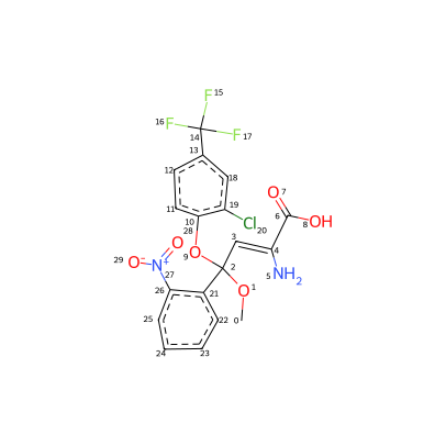 COC(C=C(N)C(=O)O)(Oc1ccc(C(F)(F)F)cc1Cl)c1ccccc1[N+](=O)[O-]